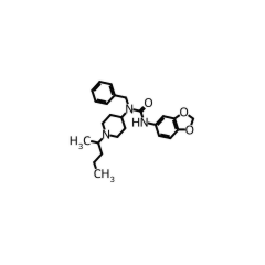 CCCC(C)N1CCC(N(Cc2ccccc2)C(=O)Nc2ccc3c(c2)OCO3)CC1